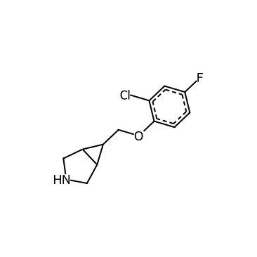 Fc1ccc(OCC2C3CNCC32)c(Cl)c1